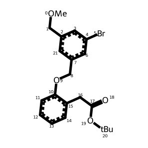 COCc1cc(Br)cc(COc2ccccc2CC(=O)OC(C)(C)C)c1